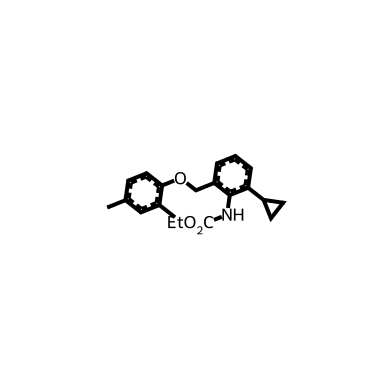 CCOC(=O)Nc1c(COc2ccc(C)cc2C)cccc1C1CC1